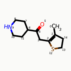 CC1=C(CC(=O)C2CCNCC2)SCC1